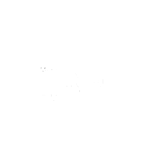 COCCC=C(CC(=O)O)C(=O)OCC(=O)O